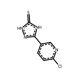 S=c1[nH]nc(-c2ccc(Cl)nc2)[nH]1